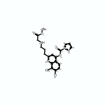 CC(C)(C)OC(=O)CNCCCc1cc(OC(=O)n2cccn2)c2ccc(Cl)c(Cl)c2n1